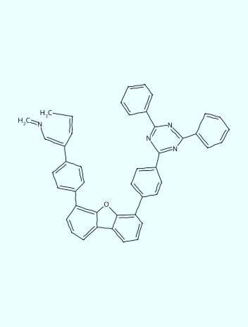 C=N/C=C(\C=C/C)c1ccc(-c2cccc3c2oc2c(-c4ccc(-c5nc(-c6ccccc6)nc(-c6ccccc6)n5)cc4)cccc23)cc1